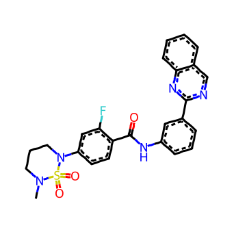 CN1CCCN(c2ccc(C(=O)Nc3cccc(-c4ncc5ccccc5n4)c3)c(F)c2)S1(=O)=O